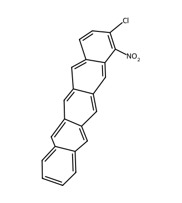 O=[N+]([O-])c1c(Cl)ccc2cc3cc4cc5ccccc5cc4cc3cc12